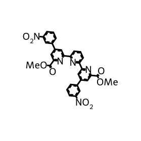 COC(=O)c1cc(-c2cccc([N+](=O)[O-])c2)cc(-c2cccc(-c3cc(-c4cccc([N+](=O)[O-])c4)cc(C(=O)OC)n3)n2)n1